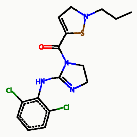 CCCN1CC=C(C(=O)N2CCN=C2Nc2c(Cl)cccc2Cl)S1